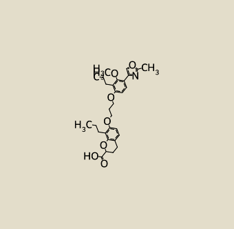 CCCc1c(OCCCOc2ccc(-c3coc(C)n3)c(OC)c2CCC)ccc2c1OC(C(=O)O)CC2